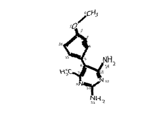 COc1ccc(-c2c(C)nc(N)nc2N)cc1